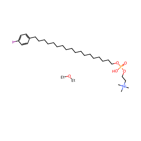 CCOCC.C[N+](C)(C)CCOP(=O)(O)OCCCCCCCCCCCCCCCCCCc1ccc(I)cc1